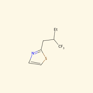 CCC(Cc1nccs1)C(F)(F)F